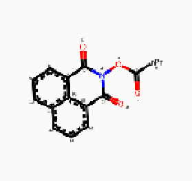 CCCC(=O)ON1C(=O)c2cccc3cccc(c23)C1=O